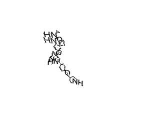 O=C(Nc1ccc(Oc2ncnc3[nH]c(-c4ccc(OCC5CCNCC5)cc4)cc23)cc1Cl)NC1CC1